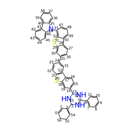 C1=CC(C2NC(c3ccccc3)NC(c3ccc4c(c3)sc3ccc(-c5ccc6c(c5)sc5c(-n7c8ccccc8c8ccccc87)cccc56)cc34)N2)=CCC1